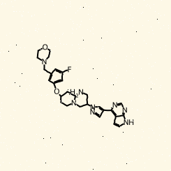 NCC(CN1CCC(Oc2cc(F)cc(CN3CCOCC3)c2)CC1)n1cc(-c2ncnc3[nH]ccc23)cn1